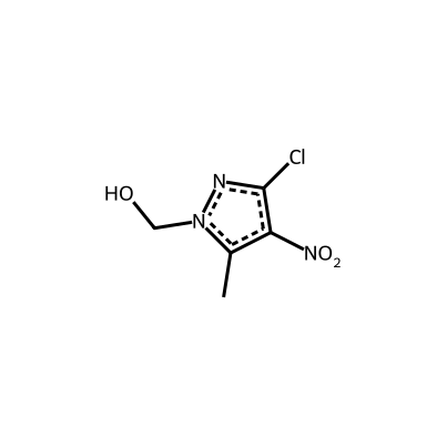 Cc1c([N+](=O)[O-])c(Cl)nn1CO